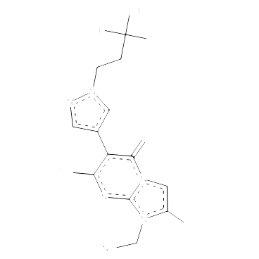 Cc1cn2c(=O)c(-c3cnn(CCC(C)(F)F)c3)c(C(F)(F)F)nc2n1CC#N